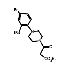 CCOC(=O)CC(=O)N1CCN(c2ccc(Br)cc2C(C)(C)C)CC1